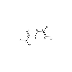 C=C(C)C(=C)CCC(C)=CC